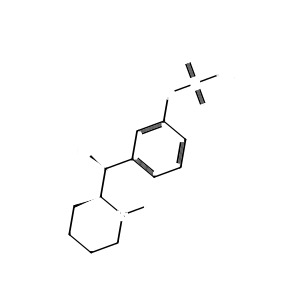 O=C(O)N1CCCC[C@H]1[C@@H](O)c1cccc(OS(=O)(=O)C(F)(F)F)c1